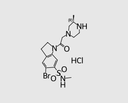 CNS(=O)(=O)c1cc2c(cc1Br)CCN2C(=O)CN1CCN[C@H](C)C1.Cl